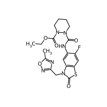 CCOC(=O)N1CCCCN1C(=O)Nc1cc2c(cc1F)sc(=O)n2Cc1noc(C)n1